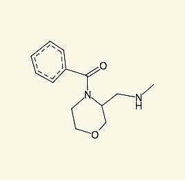 CNCC1COCCN1C(=O)c1ccccc1